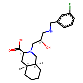 O=C(O)[C@@H]1C[C@@H]2CCCC[C@@H]2CN1C[C@H](O)CNCc1cccc(F)c1